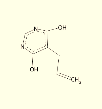 C=CCc1c(O)ncnc1O